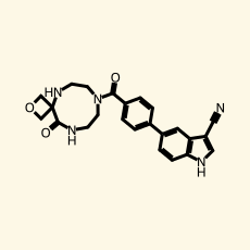 N#Cc1c[nH]c2ccc(-c3ccc(C(=O)N4CCNC(=O)C5(COC5)NCC4)cc3)cc12